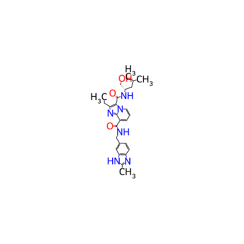 CCc1nc2c(C(=O)NCc3ccc4nc(C)[nH]c4c3)cccn2c1C(=O)N[C@H](CO)CC(C)C